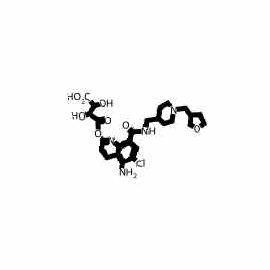 Nc1c(Cl)cc(C(=O)NCC2CCN(CC3CCOC3)CC2)c2nc(OC(=O)C(O)C(O)C(=O)O)ccc12